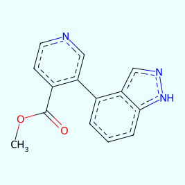 COC(=O)c1ccncc1-c1cccc2[nH]ncc12